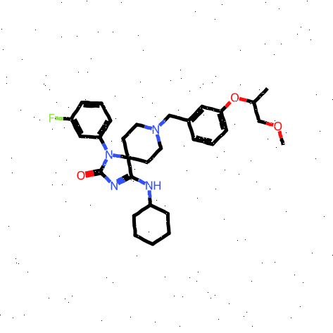 COCC(C)Oc1cccc(CN2CCC3(CC2)C(NC2CCCCC2)=NC(=O)N3c2cccc(F)c2)c1